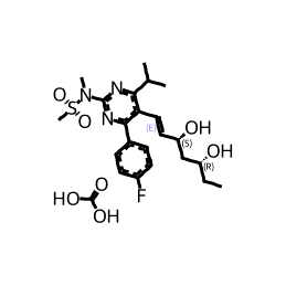 CC[C@@H](O)C[C@H](O)/C=C/c1c(-c2ccc(F)cc2)nc(N(C)S(C)(=O)=O)nc1C(C)C.O=C(O)O